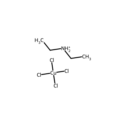 CC[NH2+]CC.[Cl][Cu]([Cl])([Cl])[Cl]